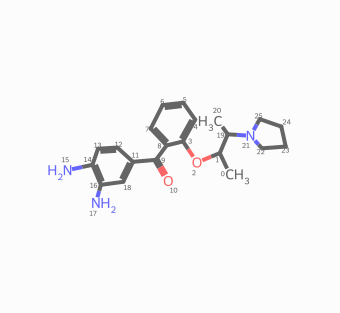 CC(Oc1ccccc1C(=O)c1ccc(N)c(N)c1)C(C)N1CCCC1